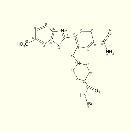 CC(C)(C)NC(=O)C1CCN(Cc2cc(C(N)=O)ccc2-c2nc3ccc(C(=O)O)cc3s2)CC1